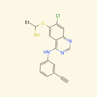 C#Cc1cccc(Nc2ncnc3cc(Cl)c(SC(S)CC)cc23)c1